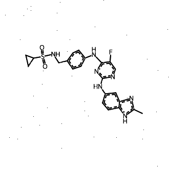 Cc1nc2cc(Nc3ncc(F)c(Nc4ccc(CNS(=O)(=O)C5CC5)cc4)n3)ccc2[nH]1